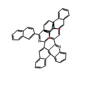 c1ccc2cc(-c3cc(-c4ccc5ccccc5c4)nc(-c4cc5ccccc5c5c4c(-c4ccc6ccccc6c4)nc4ccccc45)c3)ccc2c1